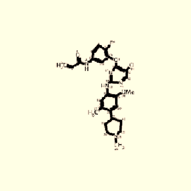 C=CC(=O)Nc1ccc(F)c(Oc2nc(Nc3cc(C)c(C4CCN(C)CC4)cc3OC)ncc2Cl)c1